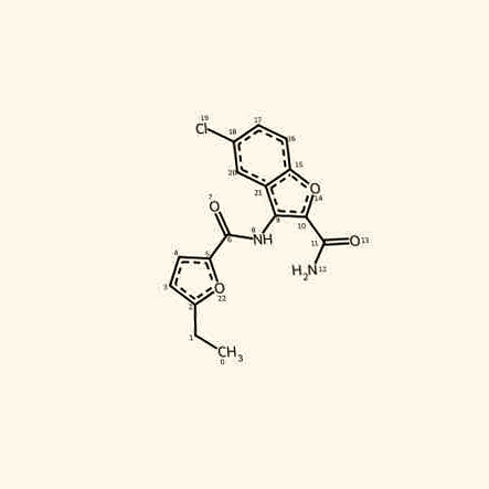 CCc1ccc(C(=O)Nc2c(C(N)=O)oc3ccc(Cl)cc23)o1